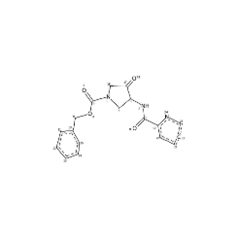 O=C(NC1CN(C(=O)OCc2ccccc2)CC1=O)c1ccccn1